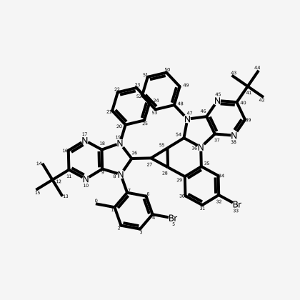 Cc1ccc(Br)cc1N1c2nc(C(C)(C)C)cnc2N(c2ccccc2)C1C1C2c3ccc(Br)cc3N3c4ncc(C(C)(C)C)nc4N(c4ccccc4)C3C21